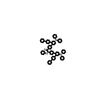 c1ccc(-c2ccc(-c3cc(N(c4ccccc4)c4ccccc4)ccc3-c3ccc(-c4nc5ccccc5nc4-c4ccc(-c5ccc(N(c6ccccc6)c6ccccc6)cc5-c5ccc(-c6ccccc6)cc5)cc4)cc3)cc2)cc1